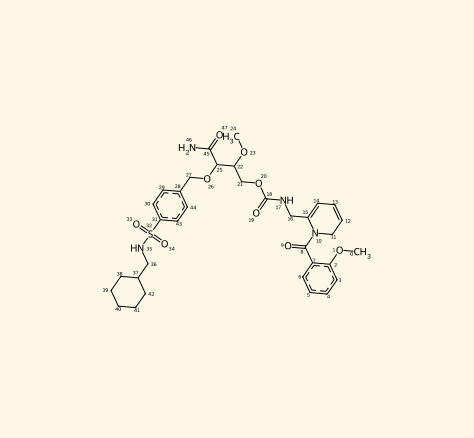 COc1ccccc1C(=O)N1CC=CC=C1CNC(=O)OCC(OC)C(OCc1ccc(S(=O)(=O)NCC2CCCCC2)cc1)C(N)=O